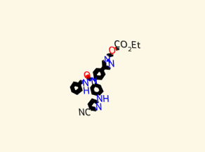 CCOC(=O)COCCn1cc(-c2ccc(N(C(=O)NCc3ccccc3)C3CCC(Nc4ccc(C#N)cn4)CC3)cc2)cn1